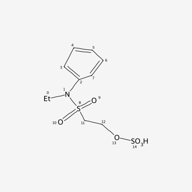 CCN(c1ccccc1)S(=O)(=O)CCOS(=O)(=O)O